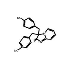 N#Cc1ccc(CC2(Cc3ccc(C#N)cc3)C(=O)N=C3C=CC=CN32)cc1